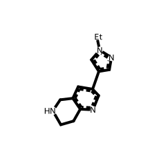 CCn1cc(-c2cnc3c(c2)CNCC3)cn1